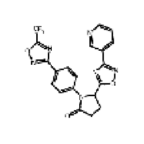 O=C1CCC(c2nc(-c3cccnc3)no2)N1c1ccc(-c2noc(C(F)(F)F)n2)cc1